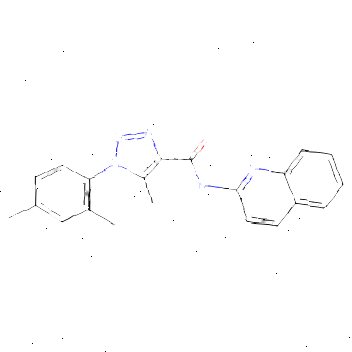 Cc1ccc(-n2nnc(C(=O)Nc3ccc4ccccc4n3)c2C)c(C)c1